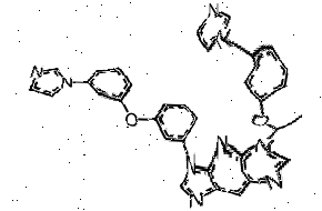 CC(Oc1cccc(-n2ccnc2)c1)n1cnc2cc3ncn(-c4cccc(Oc5cccc(-n6ccnc6)c5)c4)c3nc21